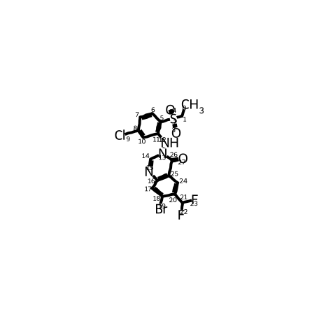 CCS(=O)(=O)c1ccc(Cl)cc1Nn1cnc2cc(Br)c(C(F)F)cc2c1=O